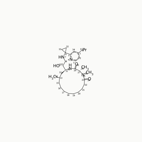 CC(C)c1ccnc(C2(NC[C@@H](O)[C@@H]3C[C@H](C)CCCCCCCCC(=O)N(C)[C@@H](C)C(=O)N3)CC2)c1